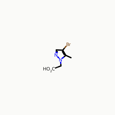 Cc1c(Br)cnn1CC(=O)O